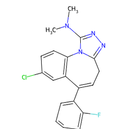 CN(C)c1nnc2n1-c1ccc(Cl)cc1C(c1ccccc1F)=CC2